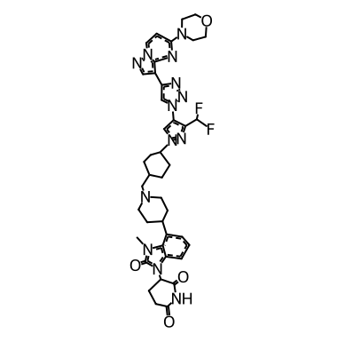 Cn1c(=O)n(C2CCC(=O)NC2=O)c2cccc(C3CCN(CC4CCC(n5cc(-n6cc(-c7cnn8ccc(N9CCOCC9)nc78)nn6)c(C(F)F)n5)CC4)CC3)c21